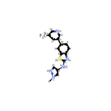 Cn1cc(Nc2nc3ccc(-c4cncc(C(F)(F)F)c4)cc3s2)cn1